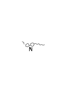 CCCCCCCC1CCC([C@]2(C#N)CC[C@@H](CCC)CC2)CC1